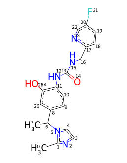 Cc1nccn1C(C)c1ccc(NC(=O)NCc2ccc(F)cn2)c(O)c1